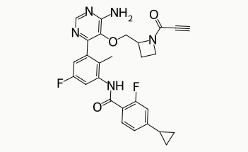 C#CC(=O)N1CCC1COc1c(N)ncnc1-c1cc(F)cc(NC(=O)c2ccc(C3CC3)cc2F)c1C